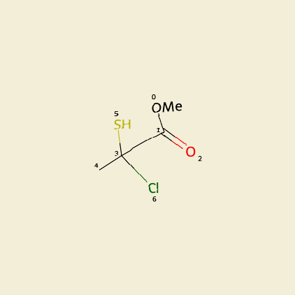 COC(=O)C(C)(S)Cl